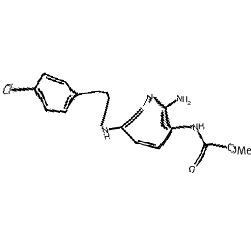 COC(=O)Nc1ccc(NCc2ccc(Cl)cc2)nc1N